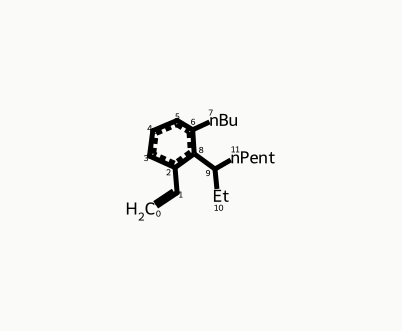 C=Cc1cccc(CCCC)c1C(CC)CCCCC